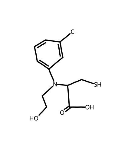 O=C(O)C(CS)N(CCO)c1cccc(Cl)c1